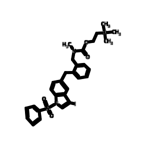 CN(Cc1ccccc1Cc1ccc2c(c1)c(I)cn2S(=O)(=O)c1ccccc1)C(=O)OCC[Si](C)(C)C